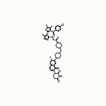 Cc1sc2c(c1C)C(c1ccc(Cl)cc1)=N[C@@H](CC(=O)N1CCC(CN3CCN(c4cc5c(=O)n(C6CCC(=O)NC6=O)ncc5cc4F)CC3)CC1)c1nnc(C)n1-2